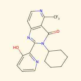 O=c1c2c(C(F)(F)F)nccc2nc(-c2ncccc2O)n1C1CCCCC1